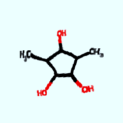 CC1C(O)C(C)C(O)C1O